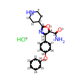 Cl.NC(=O)c1oc(C2CCNCC2)nc1-c1ccc(Oc2ccccc2)cc1